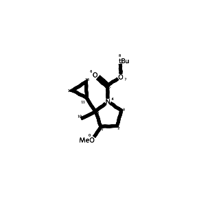 COC1CCN(C(=O)OC(C)(C)C)C1(C)C1CC1